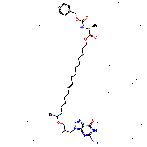 CCC(CCCCC/C=C/CCCCCCCCOC(=O)[C@@H](NC(=O)OCc1ccccc1)C(C)C)OCC(C)Cn1cnc2c(=O)[nH]c(N)nc21